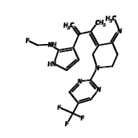 C=C(/C(C)=C1\CN(c2ncc(C(F)(F)F)cn2)CC\C1=N\C)c1cc[nH]c1NCF